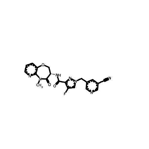 CN1C(=O)[C@@H](NC(=O)c2nn(Cc3cncc(C#N)c3)cc2F)COc2cccnc21